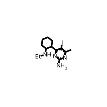 CCNC1CCCCC1c1nc(N)nc(C)c1I